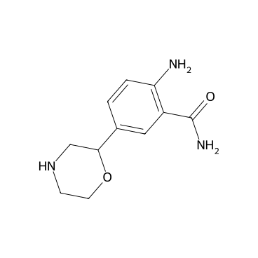 NC(=O)c1cc(C2CNCCO2)ccc1N